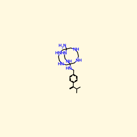 C=C(c1ccc(CNC23CNCCNCC(N)(CNCCNC2)NCCN3)cc1)C(C)C